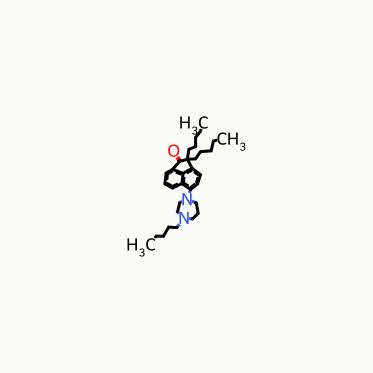 CCCCCN1CCCN(c2ccc3c4c(cccc24)C(=O)C3(CCCCC)CCCCC)CC1